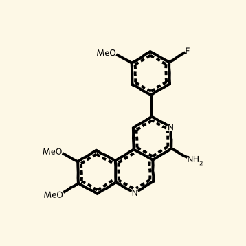 COc1cc(F)cc(-c2cc3c(cnc4cc(OC)c(OC)cc43)c(N)n2)c1